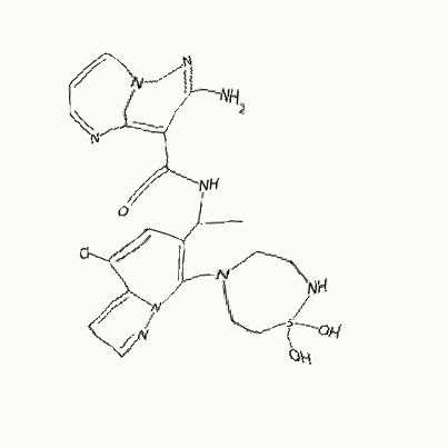 CC(NC(=O)c1c(N)nn2cccnc12)c1cc(Cl)c2ccnn2c1N1CCNS(O)(O)CC1